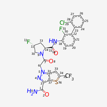 NC(=O)c1nn(CC(=O)N2C[C@H](F)C[C@H]2C(=O)Nc2cccc(-c3ccccc3Cl)c2F)c2cc(C(F)(F)F)sc12